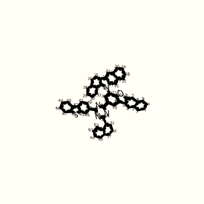 c1ccc2cc3c(cc2c1)oc1c(-n2c4cc5ccccc5cc4c4ccc5ccccc5c42)cc(-c2nc(-c4ccc5c(c4)sc4ccccc45)nc(-c4cccc5ccccc45)n2)cc13